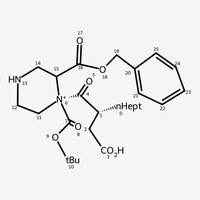 CCCCCCC[C@H](CC(=O)O)C(=O)[N@+]1(C(=O)OC(C)(C)C)CCNCC1C(=O)OCc1ccccc1